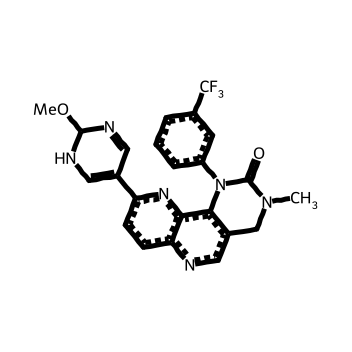 COC1N=CC(c2ccc3ncc4c(c3n2)N(c2cccc(C(F)(F)F)c2)C(=O)N(C)C4)=CN1